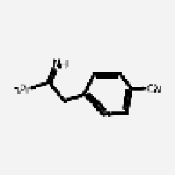 CCCC(=N)Cc1ccc(C#N)cc1